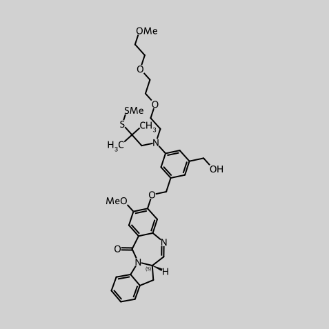 COCCOCCOCCN(CC(C)(C)SSC)c1cc(CO)cc(COc2cc3c(cc2OC)C(=O)N2c4ccccc4C[C@H]2C=N3)c1